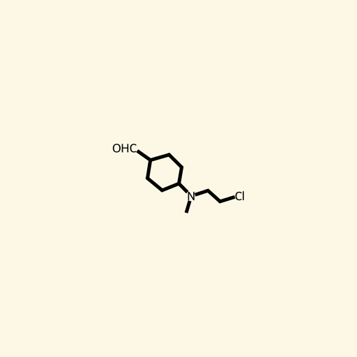 CN(CCCl)C1CCC(C=O)CC1